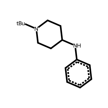 CC(C)(C)N1CCC(Nc2ccccc2)CC1